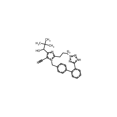 CCCc1nc(C(O)C(C)(C)C)c(C#N)n1Cc1ccc(-c2ccccc2-c2nnn[nH]2)cc1